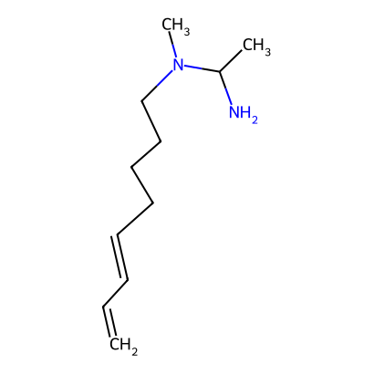 C=CC=CCCCCN(C)C(C)N